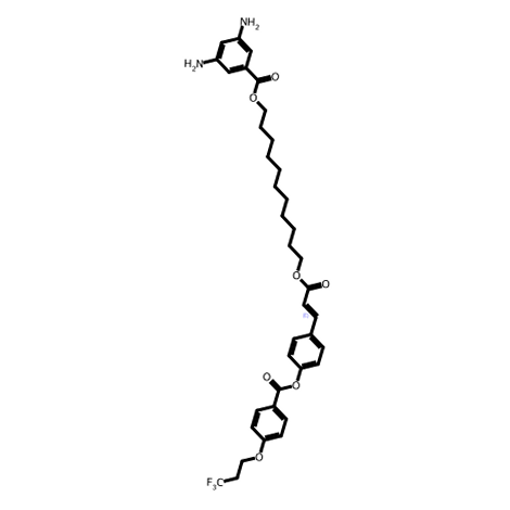 Nc1cc(N)cc(C(=O)OCCCCCCCCCCCOC(=O)/C=C/c2ccc(OC(=O)c3ccc(OCCC(F)(F)F)cc3)cc2)c1